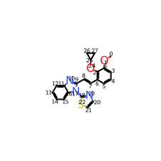 COc1cccc(/C=C/c2nc3ccccc3n2-c2nccs2)c1OC1CC1